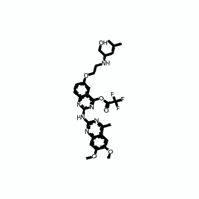 COc1cc2nc(Nc3nc(OC(=O)C(F)(F)F)c4cc(OCCNC(CO)CC(C)C)ccc4n3)nc(C)c2cc1OC